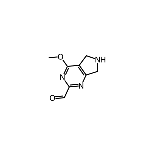 COc1nc(C=O)nc2c1CNC2